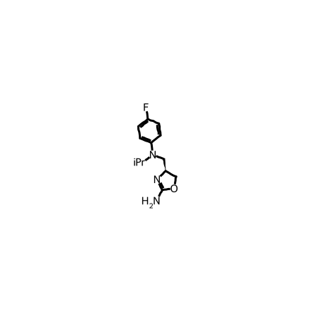 CC(C)N(C[C@H]1COC(N)=N1)c1ccc(F)cc1